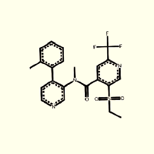 CCS(=O)(=O)c1cnc(C(F)(F)F)cc1C(=O)N(C)c1cnccc1-c1ccccc1C